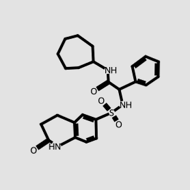 O=C1CCc2cc(S(=O)(=O)NC(C(=O)NC3CCCCCC3)c3ccccc3)ccc2N1